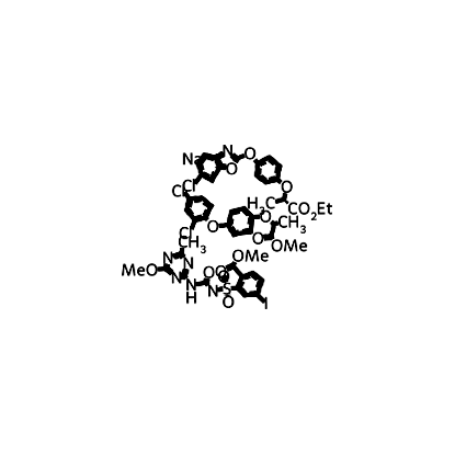 CCOC(=O)[C@@H](C)Oc1ccc(Oc2nc3ccc(Cl)cc3o2)cc1.COC(=O)C(C)Oc1ccc(Oc2ccc(Cl)cc2Cl)cc1.COC(=O)c1ccc(I)cc1S(=O)(=O)[N-]C(=O)Nc1nc(C)nc(OC)n1.[Na+]